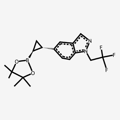 CC1(C)OB([C@H]2C[C@@H]2c2ccc3c(cnn3CC(F)(F)F)c2)OC1(C)C